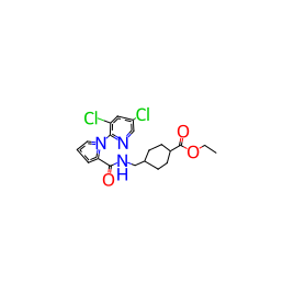 CCOC(=O)C1CCC(CNC(=O)c2cccn2-c2ncc(Cl)cc2Cl)CC1